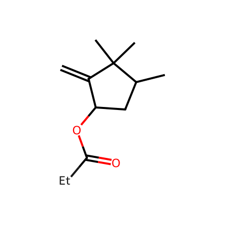 C=C1C(OC(=O)CC)CC(C)C1(C)C